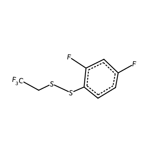 Fc1ccc(SSCC(F)(F)F)c(F)c1